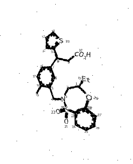 CC[C@@H]1CN(Cc2cc(C(CC(=O)O)c3cccs3)ccc2C)S(=O)(=O)c2ccccc2O1